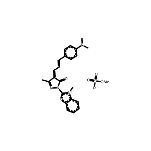 CC1=NN(c2sc3ccccc3[n+]2C)C(=O)C1=CC=Cc1ccc(N(C)C)cc1.COS(=O)(=O)[O-]